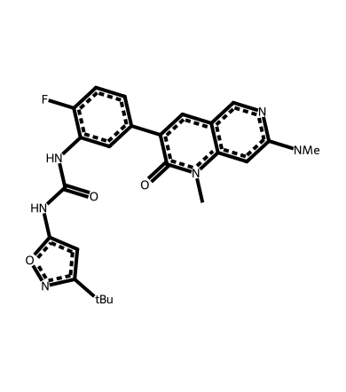 CNc1cc2c(cn1)cc(-c1ccc(F)c(NC(=O)Nc3cc(C(C)(C)C)no3)c1)c(=O)n2C